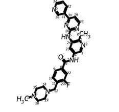 Cc1ncc(NC(=O)c2ccc(CN3CCN(C)CC3)c(F)c2)cc1Nc1nccc(-c2cccnc2)n1